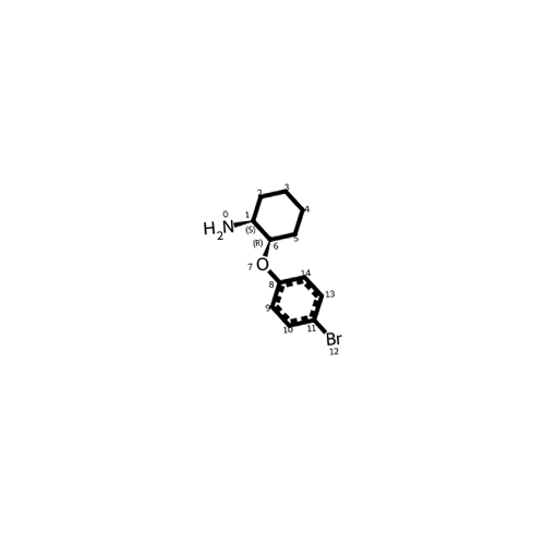 N[C@H]1CCCC[C@H]1Oc1ccc(Br)cc1